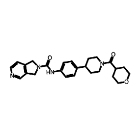 O=C(Nc1ccc(C2CCN(C(=O)C3CCOCC3)CC2)cc1)N1Cc2ccncc2C1